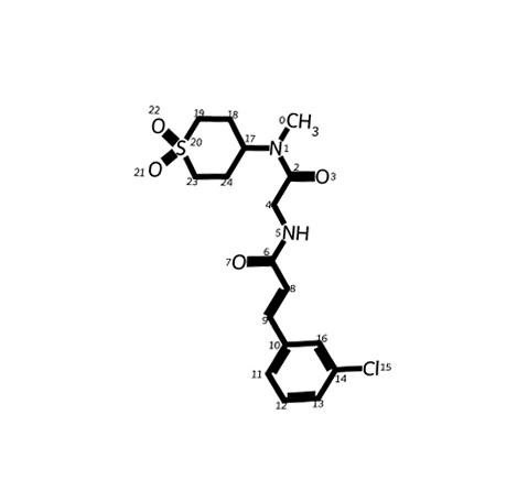 CN(C(=O)CNC(=O)C=Cc1cccc(Cl)c1)C1CCS(=O)(=O)CC1